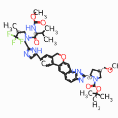 COC[C@H]1C[C@@H](c2nc3ccc4cc5c(cc4c3[nH]2)OCc2cc(-c3cnc(CN(C[C@H](C)C(F)(F)F)C(=O)[C@@H](NC(=O)OC)C(C)C)[nH]3)ccc2-5)N(C(=O)OC(C)(C)C)C1